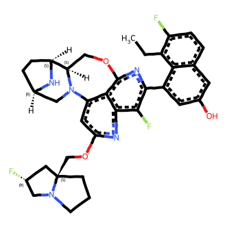 CCc1c(F)ccc2cc(O)cc(-c3nc4c5c(cc(OC[C@@]67CCCN6C[C@H](F)C7)nc5c3F)N3C[C@H]5CC[C@H](N5)[C@H]3CO4)c12